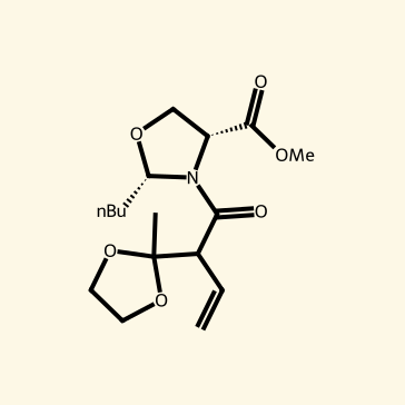 C=CC(C(=O)N1[C@H](CCCC)OC[C@@H]1C(=O)OC)C1(C)OCCO1